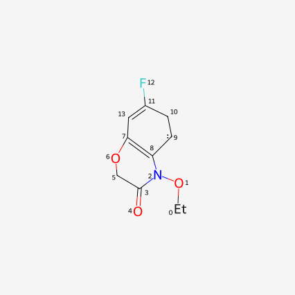 CCON1C(=O)COC2=C1[C]CC(F)=C2